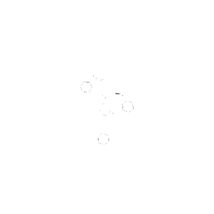 CN(C(=O)OCc1ccccc1)[C@@H](Cc1ccccc1)C(=O)N1C[C@]2(C[C@H]1C#N)C(=O)Nc1ccccc12